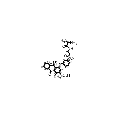 CC(N)C(=O)NCCS(=O)(=O)c1cccc(Nc2cc(S(=O)(=O)O)c(N)c3c2C(=O)c2ccccc2C3=O)c1